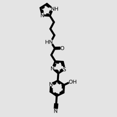 N#Cc1cnc(-c2nc(CC(=O)NCCCc3ncc[nH]3)cs2)c(O)c1